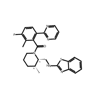 Cc1c(F)ccc(-c2ncccn2)c1C(=O)N1CCC[C@@H](C)[C@H]1CNc1nc2ccccc2s1